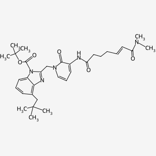 CN(C)C(=O)/C=C/CCCC(=O)Nc1cccn(Cc2nc3c(CC(C)(C)C)cccc3n2C(=O)OC(C)(C)C)c1=O